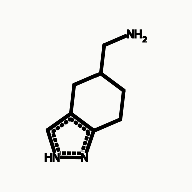 NCC1CCc2n[nH]cc2C1